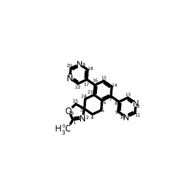 CC1=NC2(CCc3c(-c4cncnc4)ccc(-c4cncnc4)c3C2)CO1